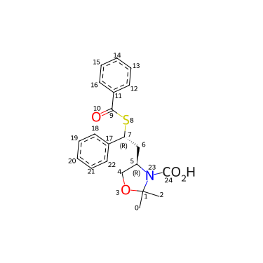 CC1(C)OC[C@@H](C[C@@H](SC(=O)c2ccccc2)c2ccccc2)N1C(=O)O